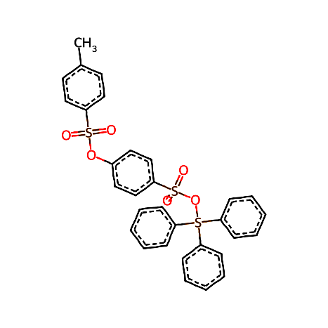 Cc1ccc(S(=O)(=O)Oc2ccc(S(=O)(=O)OS(c3ccccc3)(c3ccccc3)c3ccccc3)cc2)cc1